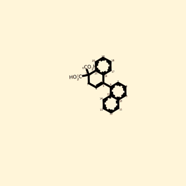 O=C(O)C1(C(=O)O)CC=C(c2cccc3ccccc23)c2ccccc21